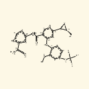 COc1cc(OC(F)(F)F)ccc1Oc1cc(C2C[C@H]2C)ncc1C(=O)Nc1ccnc(C(N)=O)c1